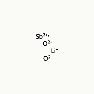 [Li+].[O-2].[O-2].[Sb+3]